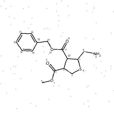 COC(=O)C1CSC(CN)C1C(=O)OCc1ccccc1